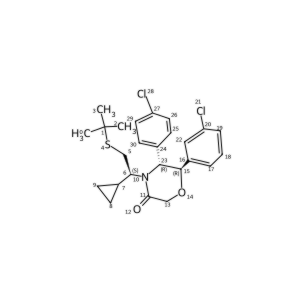 CC(C)(C)SC[C@H](C1CC1)N1C(=O)CO[C@H](c2cccc(Cl)c2)[C@H]1c1ccc(Cl)cc1